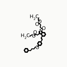 C=CCOC(=O)CCC(=O)n1cc(CC(=O)OCC=C)c2c(C=Cc3ccc(OCCCCc4ccccc4)cc3)cccc21